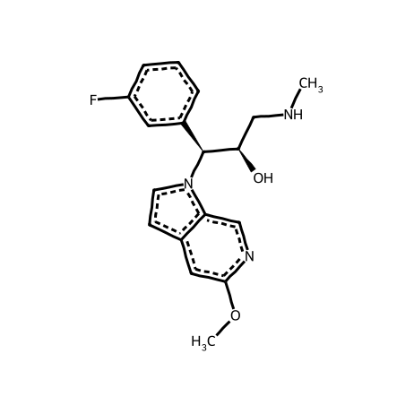 CNC[C@@H](O)[C@H](c1cccc(F)c1)n1ccc2cc(OC)ncc21